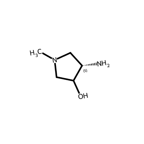 CN1CC(O)[C@@H](N)C1